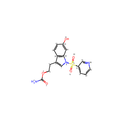 NC(=O)OCCc1cn(S(=O)(=O)c2cccnc2)c2cc(O)ccc12